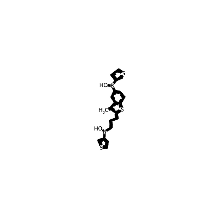 C=c1/c(=C\C=C\B(O)c2ccsc2)sc2ccc(B(O)c3ccsc3)cc12